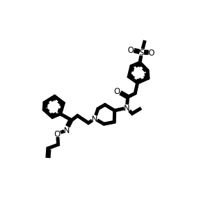 C=CCON=C(CCN1CCC(N(CC)C(=O)Cc2ccc(S(C)(=O)=O)cc2)CC1)c1ccccc1